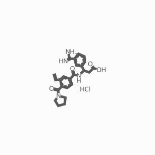 C=Cc1cc(C(=O)NC(CC(=O)O)c2cccc(C(=N)N)c2)ccc1C(=O)N1CCCC1.Cl